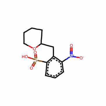 O=[N+]([O-])c1cccc(S(=O)(=O)O)c1CC1CCCCO1